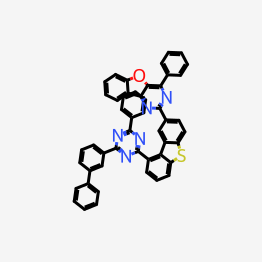 c1ccc(-c2cccc(-c3nc(-c4ccccc4)nc(-c4cccc5sc6ccc(-c7nc(-c8ccccc8)c8oc9ccccc9c8n7)cc6c45)n3)c2)cc1